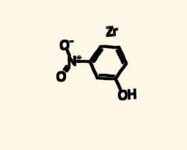 O=[N+]([O-])c1cccc(O)c1.[Zr]